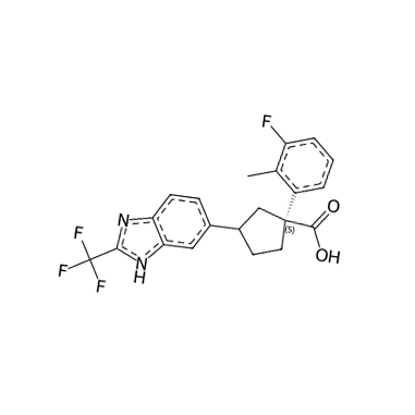 Cc1c(F)cccc1[C@]1(C(=O)O)CCC(c2ccc3nc(C(F)(F)F)[nH]c3c2)C1